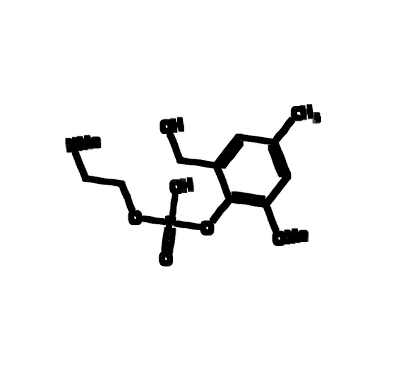 CNCCOP(=O)(O)Oc1c(CO)cc(C)cc1OC